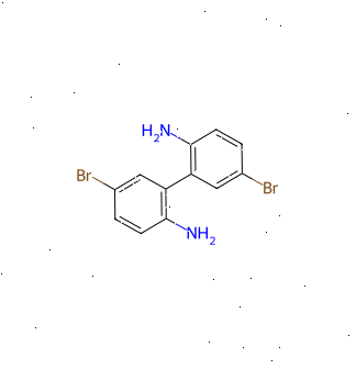 Nc1ccc(Br)cc1-c1cc(Br)ccc1N